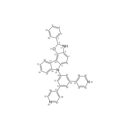 c1ccc(C2Nc3ccc4c(c3O2)c2ccccc2n4-c2cc(-c3ccncc3)cc(-c3ccncc3)c2)cc1